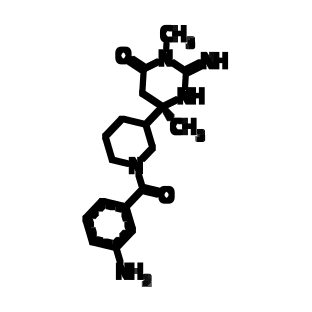 CN1C(=N)N[C@](C)(C2CCCN(C(=O)c3cccc(N)c3)C2)CC1=O